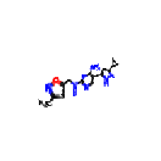 Cc1cc(CNc2ncc(-c3cc(C4CC4)n[nH]3)c(N)n2)on1